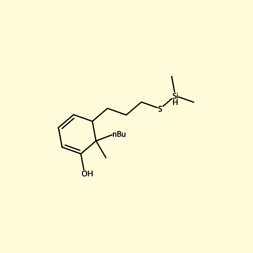 CCCCC1(C)C(O)=CC=CC1CCCS[SiH](C)C